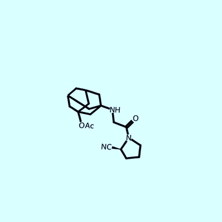 CC(=O)OC12CC3CC(CC(NCC(=O)N4CCC[C@H]4C#N)(C3)C1)C2